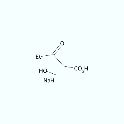 CCC(=O)CC(=O)O.CO.[NaH]